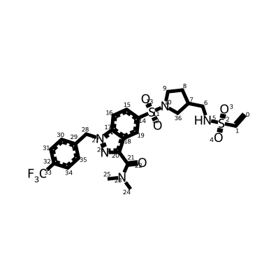 C=CS(=O)(=O)NCC1CCN(S(=O)(=O)c2ccc3c(c2)c(C(=O)N(C)C)nn3Cc2ccc(C(F)(F)F)cc2)C1